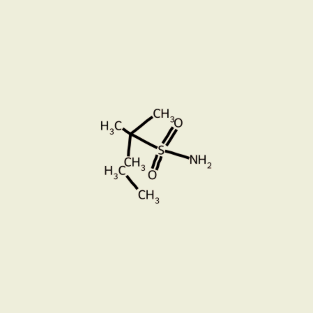 CC.CC(C)(C)S(N)(=O)=O